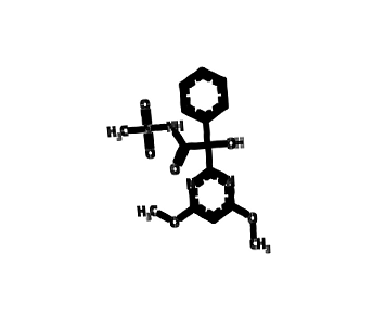 COc1cc(OC)nc(C(O)(C(=O)NS(C)(=O)=O)c2ccccc2)n1